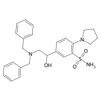 NS(=O)(=O)c1cc(C(O)CN(Cc2ccccc2)Cc2ccccc2)ccc1N1CCCC1